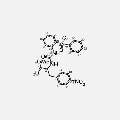 COC(=O)C(Cc1ccc([N+](=O)[O-])cc1)NC(=O)Nc1ccccc1S(=O)(=O)c1ccccc1